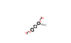 CCCCCCCCc1cc(C2C=CC(c3ccc(OCC4CO4)cc3)C=C2)ccc1OCC1CO1